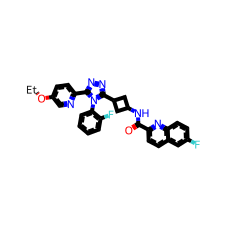 CCOc1ccc(-c2nnc(C3CC(NC(=O)c4ccc5cc(F)ccc5n4)C3)n2-c2ccccc2F)nc1